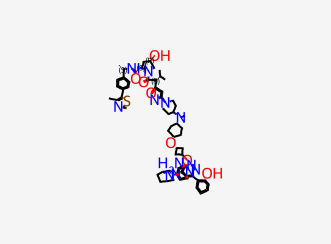 Cc1ncsc1-c1ccc([C@H](C)NC(=O)[C@@H]2C[C@@H](O)CN2C(=O)[C@@H](c2cc(N3CCC(N(C)C4CCC(OC5CC(Oc6cc(N7C8CCC7CN(c7cc(-c9ccccc9O)nnc7N)C8)ccn6)C5)CC4)CC3)no2)C(C)C)cc1